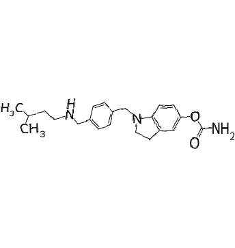 CC(C)CCNCc1ccc(CN2CCc3cc(OC(N)=O)ccc32)cc1